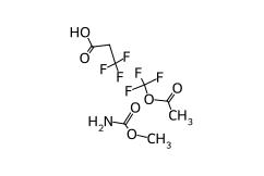 CC(=O)OC(F)(F)F.COC(N)=O.O=C(O)CC(F)(F)F